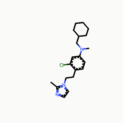 Cc1nccn1CCc1ccc(N(C)CC2CCCCC2)cc1Cl